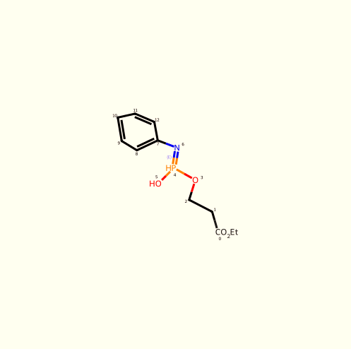 CCOC(=O)CCO/[PH](O)=N/c1ccccc1